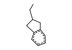 C[CH]C1Cc2ccccc2C1